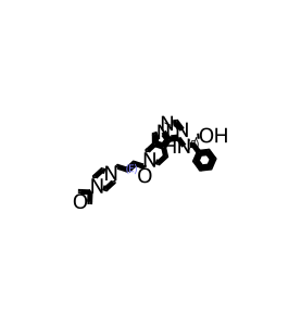 O=C(/C=C/CN1CCN(C2COC2)CC1)N1CCc2c(cn3ncnc(N[C@H](CO)c4ccccc4)c23)C1